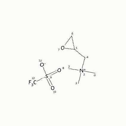 C[N+](C)(C)CC1CO1.O=S(=O)([O-])C(F)(F)F